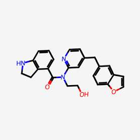 O=C(c1cccc2c1CCN2)N(CCO)c1cc(Cc2ccc3occc3c2)ccn1